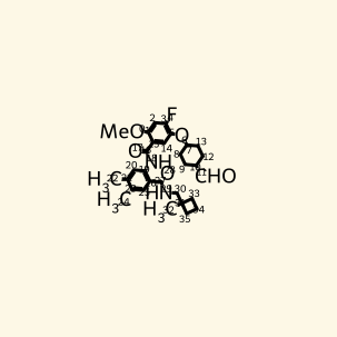 COc1cc(F)c(OC2CCC(C=O)CC2)cc1C(=O)Nc1cc(C)c(C)cc1C(=O)NCC1(C)CCC1